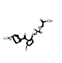 COc1ccc(C(=O)c2cc(Cl)ccc2/N=N/C(Cl)C(=O)NCC(=O)O)cc1